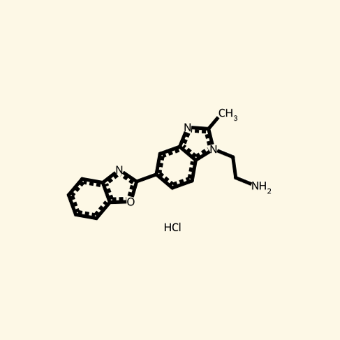 Cc1nc2cc(-c3nc4ccccc4o3)ccc2n1CCN.Cl